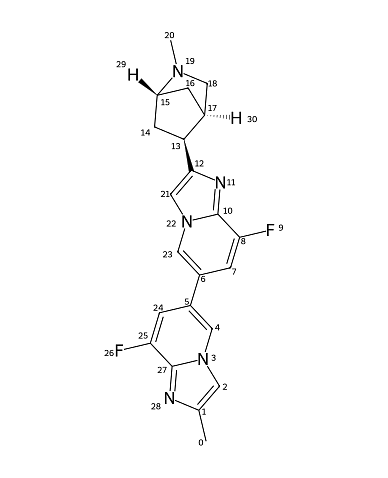 Cc1cn2cc(-c3cc(F)c4nc([C@H]5C[C@H]6C[C@H]5CN6C)cn4c3)cc(F)c2n1